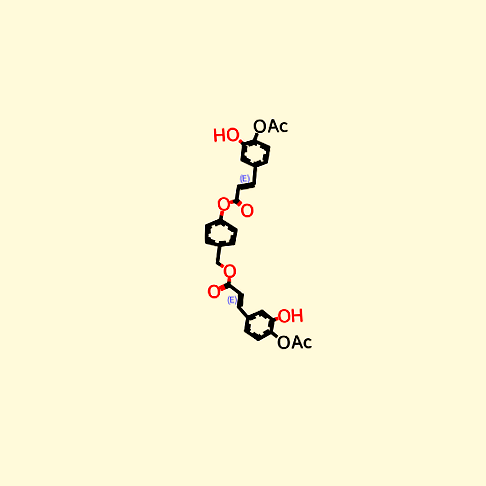 CC(=O)Oc1ccc(/C=C/C(=O)OCc2ccc(OC(=O)/C=C/c3ccc(OC(C)=O)c(O)c3)cc2)cc1O